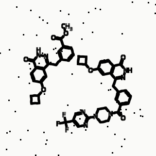 COC(=O)c1cccc(Cc2n[nH]c(=O)c3ccc(OC4CCC4)cc23)c1.O=C(c1cccc(Cc2n[nH]c(=O)c3ccc(OC4CCC4)cc23)c1)N1CCN(c2ncc(C(F)(F)F)cn2)CC1